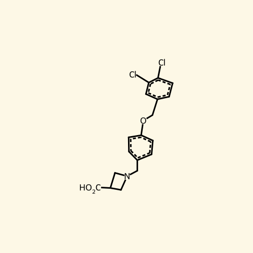 O=C(O)C1CN(Cc2ccc(OCc3ccc(Cl)c(Cl)c3)cc2)C1